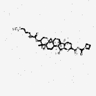 CC(C)[C@@H](OC(=O)N1CCC1)C1C[C@@H](C)[C@H]2C(O1)[C@H](O)[C@@]1(C)C3CC[C@H]4C(C)(C)C(OC(=O)NCCCC(=O)O)CC[C@@]45C[C@@]35CC[C@]21C